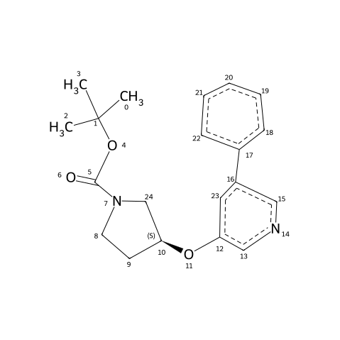 CC(C)(C)OC(=O)N1CC[C@H](Oc2cncc(-c3ccccc3)c2)C1